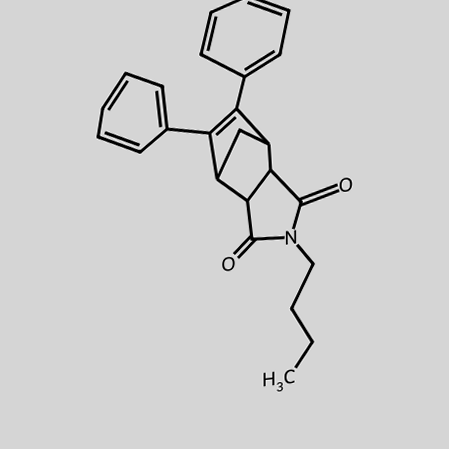 CCCCN1C(=O)C2C3CC(C(c4ccccc4)=C3c3ccccc3)C2C1=O